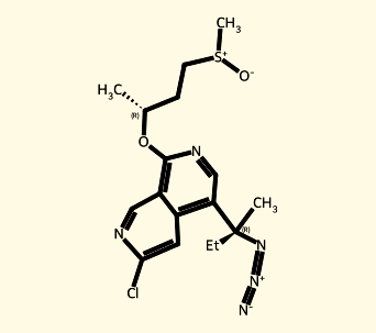 CC[C@@](C)(N=[N+]=[N-])c1cnc(O[C@H](C)CC[S+](C)[O-])c2cnc(Cl)cc12